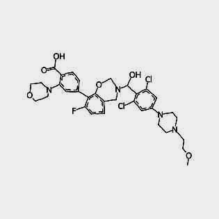 COCCN1CCN(c2cc(Cl)c(C(O)N3COc4c(ccc(F)c4-c4ccc(C(=O)O)c(N5CCOCC5)c4)C3)c(Cl)c2)CC1